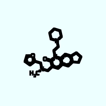 CN(Cc1ccco1)Cc1cc2cc3c(cc2n(CCN2CCCCC2)c1=O)CCC3